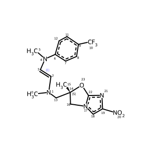 CN(/C=C/N(C)c1ccc(C(F)(F)F)cc1)C[C@@]1(C)Cn2cc([N+](=O)[O-])nc2O1